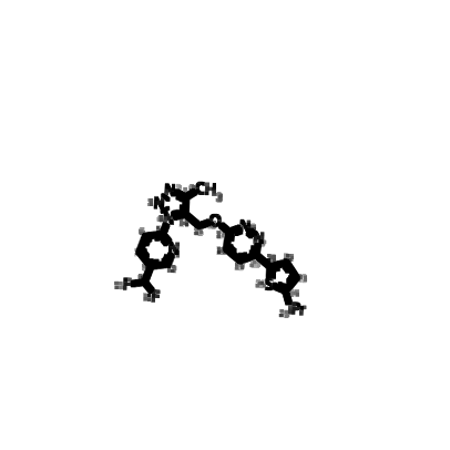 Cc1nnn(-c2ccc(C(F)F)cn2)c1COc1ccc(-c2ccc(C(C)C)s2)nn1